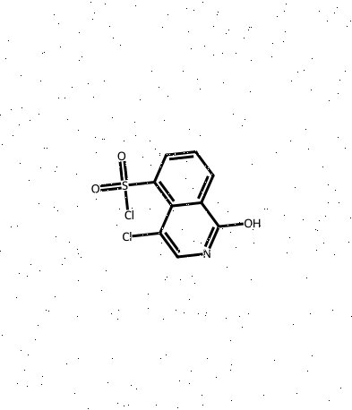 O=S(=O)(Cl)c1cccc2c(O)ncc(Cl)c12